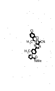 CNC(=O)C1CCCN1C1CC=C(c2cnc3c(C#N)nn([C@H](C)c4ccc(Cl)cc4Cl)c3n2)C[C@H]1C